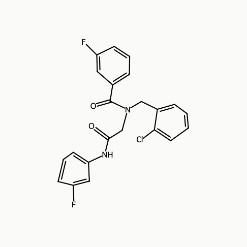 O=C(CN(Cc1ccccc1Cl)C(=O)c1cccc(F)c1)Nc1cccc(F)c1